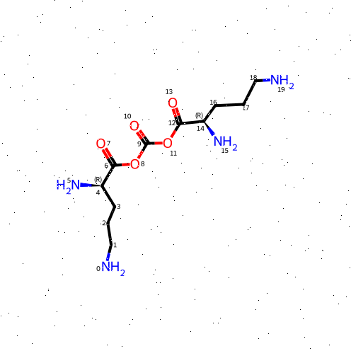 NCCC[C@@H](N)C(=O)OC(=O)OC(=O)[C@H](N)CCCN